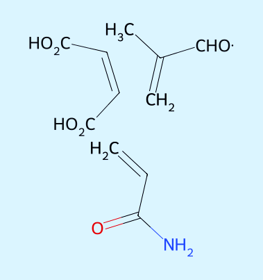 C=C(C)[C]=O.C=CC(N)=O.O=C(O)/C=C\C(=O)O